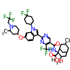 CC1CC2CC(C)C(NC(=O)c3cnc(-c4cn(C5CCC(F)(F)CC5)c5cc(OC6CCN(CC(F)(F)F)C(C)C6)ccc45)nc3C(F)(F)F)(C(=O)O)C(C1)C2